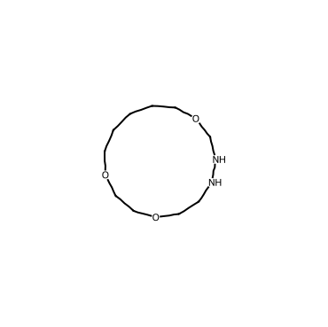 C1CCOCCOCCNNCOCC1